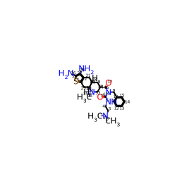 CN(C)CCNC(=O)N(Cc1ccccc1)C(=O)[C@@H]1C[C@@H]2Cc3c(sc(N)c3N)C[C@H]2N(C)C1